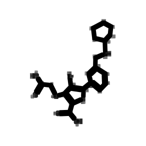 O=C(O)COc1c(C(=O)O)sc(-c2cccc(CNC3CCCCC3)c2)c1Br